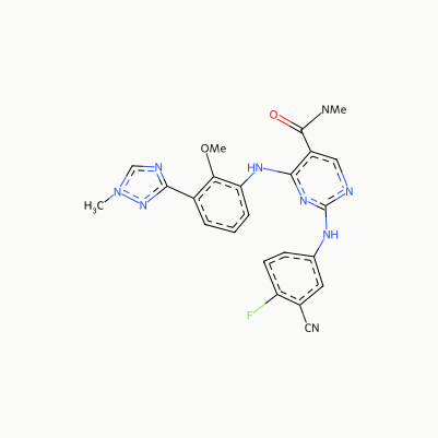 CNC(=O)c1cnc(Nc2ccc(F)c(C#N)c2)nc1Nc1cccc(-c2ncn(C)n2)c1OC